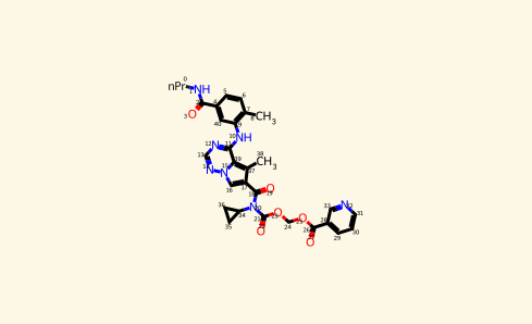 CCCNC(=O)c1ccc(C)c(Nc2ncnn3cc(C(=O)N(C(=O)OCOC(=O)c4cccnc4)C4CC4)c(C)c23)c1